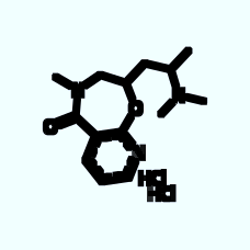 CC(CC1CN(C)C(=O)c2cccnc2O1)N(C)C.Cl.Cl